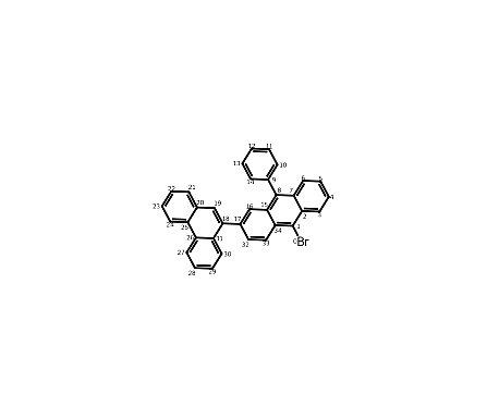 Brc1c2ccccc2c(-c2ccccc2)c2cc(-c3cc4ccccc4c4ccccc34)ccc12